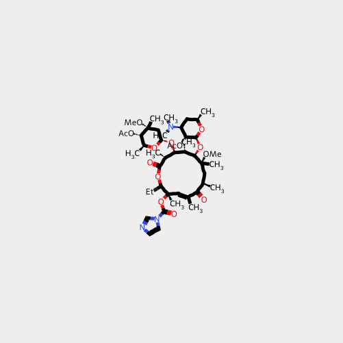 CCC1OC(=O)[C@H](C)[C@@H](O[C@H]2C[C@@](C)(OC)[C@@H](OC(C)=O)[C@H](C)O2)[C@H](C)[C@@H](O[C@@H]2O[C@H](C)C[C@H](N(C)C)[C@H]2OC(C)=O)[C@@](C)(OC)C[C@@H](C)C(=O)/C(C)=C/[C@]1(C)OC(=O)n1ccnc1